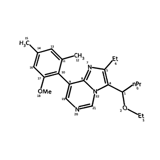 CCCC(OCC)c1c(CC)nc2c(-c3c(C)cc(C)cc3OC)cncn12